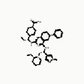 CC[C@@H]1CCCCN1C[C@H](Nc1nc(N[C@H](CC)C2CCC(C(=O)O)CC2)nc2c1C[C@H](c1ccccc1)CC2)c1cnn(C)c1